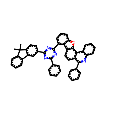 CC1(C)c2ccccc2-c2cc(-c3nc(-c4ccccc4)nc(-c4cccc5oc6c(ccc7c(-c8ccccc8)nc8ccccc8c76)c45)n3)ccc21